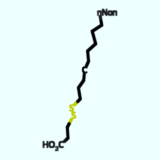 CCCCCCCCCCCCCCCCCCSSCCC(=O)O